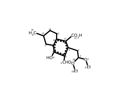 CCOC(Cc1c(C=O)c(O)c2c(c1C(=O)O)CCC(C)C2)OCC